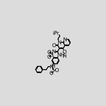 CC(C)CCn1c(=O)c(C2=NS(=O)(=O)c3cc(N(CCc4ccccc4)[SH](=O)=O)ccc3N2)c(O)c2cccnc21